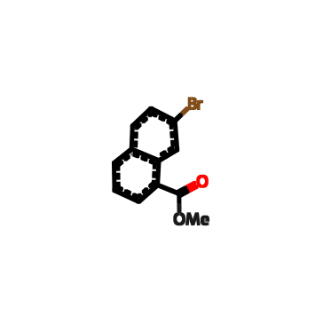 COC(=O)c1cccc2ccc(Br)cc12